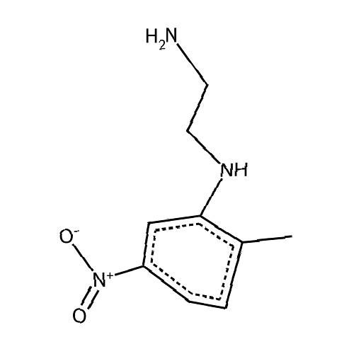 Cc1ccc([N+](=O)[O-])cc1NCCN